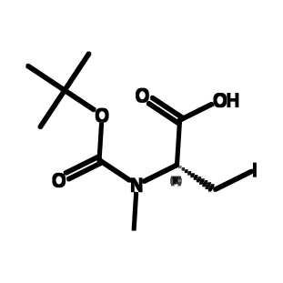 CN(C(=O)OC(C)(C)C)[C@@H](CI)C(=O)O